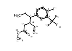 CCC(c1ccc(F)c(C(F)(F)F)c1)N(C=O)CC(=O)OC